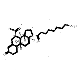 CCC(=S)[C@@H]1CC2=CC(=O)CC[C@]2(C)[C@H]2CC[C@]3(C)[C@@H](C(=O)CCCCCCCC(=O)O)CC[C@H]3[C@H]12